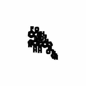 COc1cc2c(cc1Nc1nc(Nc3cccc(F)c3C(N)=O)c3ccnc-3[nH]1)N(C(=O)Cn1ccnc1)CC2